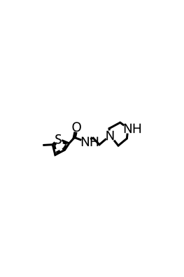 Cc1ccc(C(=O)NCCN2CCNCC2)s1